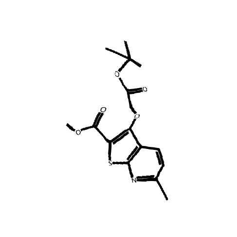 COC(=O)c1sc2nc(C)ccc2c1OCC(=O)OC(C)(C)C